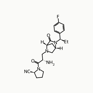 CC[C@H](c1ccc(F)cc1)N1C(=O)[C@@H]2C[C@H]1CN2C[C@H](N)C(=O)N1CCC[C@H]1C#N